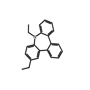 CCc1ccc2c(c1)-c1ccccc1-c1ccccc1N2CC